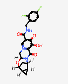 O=C(NCc1ccc(F)cc1F)c1cn2c(c(O)c1=O)C(=O)N1[C@H](C2)O[C@@H]2C[C@H]1[C@H]1C[C@H]12